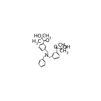 CC(C)(O)C(=O)c1cccc(CN(Cc2ccccc2)Cc2cccc(C(=O)C(C)(C)O)c2)c1